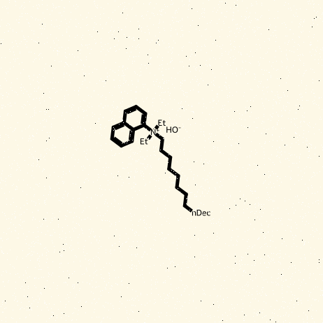 CCCCCCCCCCCCCCCCCC[N+](CC)(CC)c1cccc2ccccc12.[OH-]